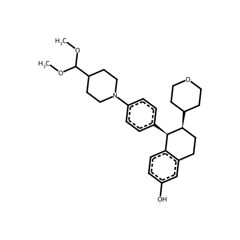 COC(OC)C1CCN(c2ccc([C@@H]3c4ccc(O)cc4CC[C@@H]3C3CCOCC3)cc2)CC1